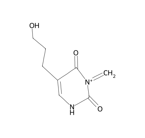 C=[N+]1C(=O)NC=C(CCCO)C1=O